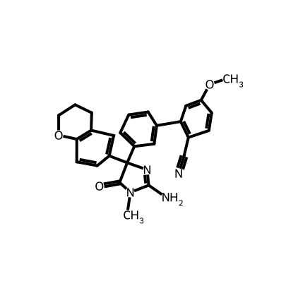 COc1ccc(C#N)c(-c2cccc(C3(c4ccc5c(c4)CCCO5)N=C(N)N(C)C3=O)c2)c1